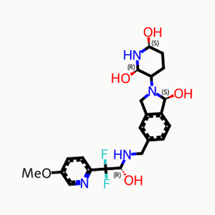 COc1ccc(C(F)(F)[C@@H](O)NCc2ccc3c(c2)CN(C2CC[C@H](O)N[C@@H]2O)[C@H]3O)nc1